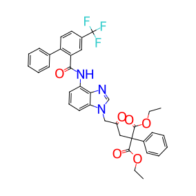 CCOC(=O)C(CC(=O)Cn1cnc2c(NC(=O)c3cc(C(F)(F)F)ccc3-c3ccccc3)cccc21)(C(=O)OCC)c1ccccc1